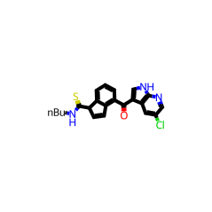 CCCCNC(=S)C1C=Cc2c(C(=O)c3c[nH]c4ncc(Cl)cc34)cccc21